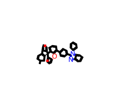 CC1C=CC2=C(C1)[C@@]1(c3ccccc3Oc3c(-c4ccc(-c5nc6ccccc6n5-c5ccccc5)cc4)cccc31)c1ccccc12